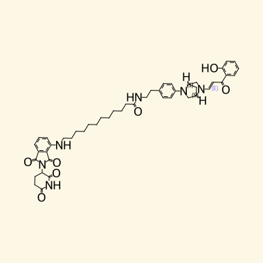 O=C(CCCCCCCCCCCNc1cccc2c1C(=O)N(C1CCC(=O)NC1=O)C2=O)NCCc1ccc(N2C[C@@H]3C[C@H]2CN3/C=C/C(=O)c2ccccc2O)cc1